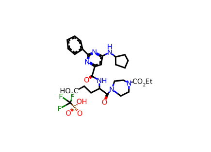 CCOC(=O)N1CCN(C(=O)C(CCC(=O)O)NC(=O)c2cc(NC3CCCC3)nc(-c3ccccc3)n2)CC1.O=S(=O)(O)C(F)(F)F